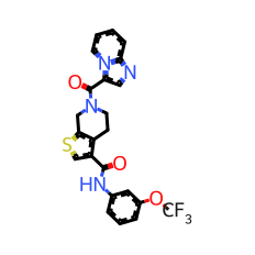 O=C(Nc1cccc(OC(F)(F)F)c1)c1csc2c1CCN(C(=O)c1cnc3ccccn13)C2